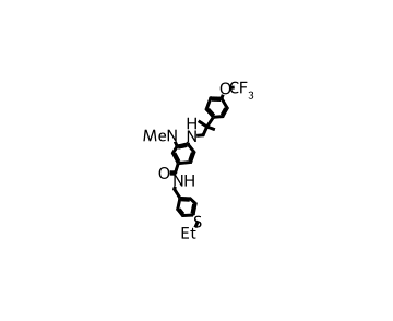 CCSc1ccc(CNC(=O)c2ccc(NCC(C)(C)c3ccc(OC(F)(F)F)cc3)c(NC)c2)cc1